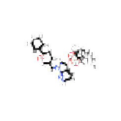 CC1(C)OB(c2cn(CC3CCC(C4=CCCC=C4)OC3)c3ncccc23)OC1(C)C